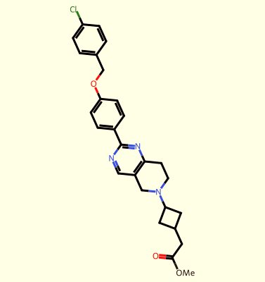 COC(=O)CC1CC(N2CCc3nc(-c4ccc(OCc5ccc(Cl)cc5)cc4)ncc3C2)C1